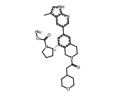 Cc1c[nH]c2ncc(-c3cc4c(c([C@@H]5CCCN5C(=O)OC(C)(C)C)c3)CN(C(=O)CC3CCOCC3)CC4)cc12